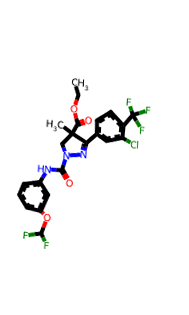 CCOC(=O)C1(C)CN(C(=O)Nc2cccc(OC(F)F)c2)N=C1c1ccc(C(F)(F)F)c(Cl)c1